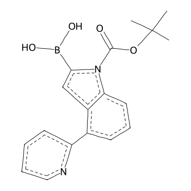 CC(C)(C)OC(=O)n1c(B(O)O)cc2c(-c3ccccn3)cccc21